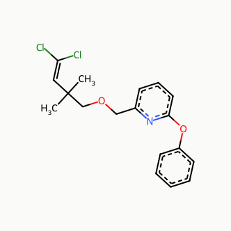 CC(C)(C=C(Cl)Cl)COCc1cccc(Oc2ccccc2)n1